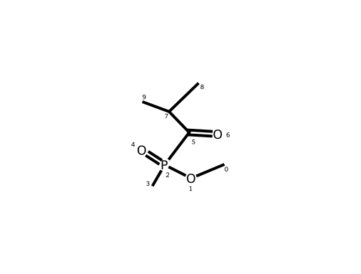 COP(C)(=O)C(=O)C(C)C